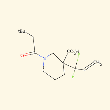 C=CC(F)(F)C1(C(=O)O)CCCN(C(=O)CC(C)(C)C)C1